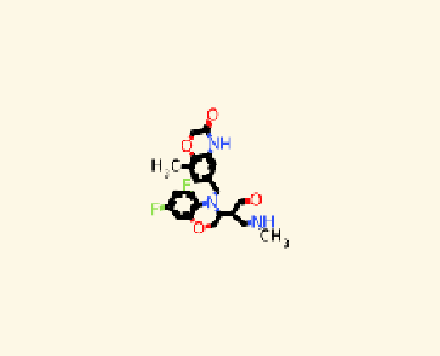 CNCC(C=O)C1COc2cc(F)cc(F)c2N1Cc1cc(C)c2c(c1)NC(=O)CO2